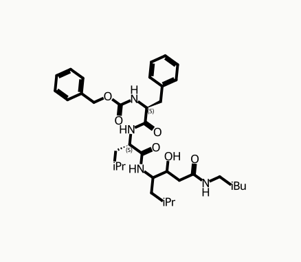 CCC(C)CNC(=O)CC(O)C(CC(C)C)NC(=O)[C@H](CC(C)C)NC(=O)[C@H](Cc1ccccc1)NC(=O)OCc1ccccc1